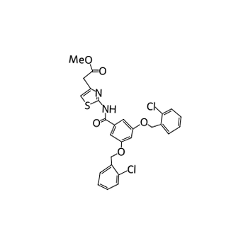 COC(=O)Cc1csc(NC(=O)c2cc(OCc3ccccc3Cl)cc(OCc3ccccc3Cl)c2)n1